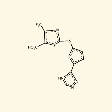 O=C(O)c1sc(Sc2ccc(-c3nnn[nH]3)s2)nc1C(F)(F)F